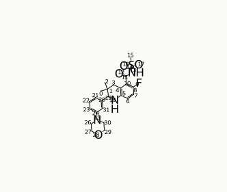 CC1(C)Cc2c(ccc(F)c2C(=O)NS(C)(=O)=O)NC1c1cccc(N2CCOCC2)c1